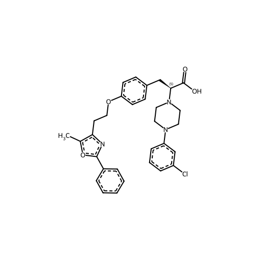 Cc1oc(-c2ccccc2)nc1CCOc1ccc(C[C@@H](C(=O)O)N2CCN(c3cccc(Cl)c3)CC2)cc1